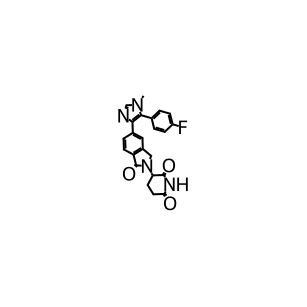 Cn1cnc(-c2ccc3c(c2)CN(C2CCC(=O)NC2=O)C3=O)c1-c1ccc(F)cc1